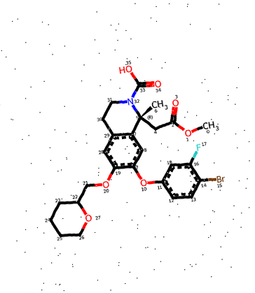 COC(=O)C[C@]1(C)c2cc(Oc3ccc(Br)c(F)c3)c(OCC3CCCCO3)cc2CCN1C(=O)O